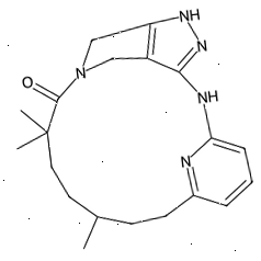 CC1CCc2cccc(n2)Nc2n[nH]c3c2CN(C3)C(=O)C(C)(C)CC1